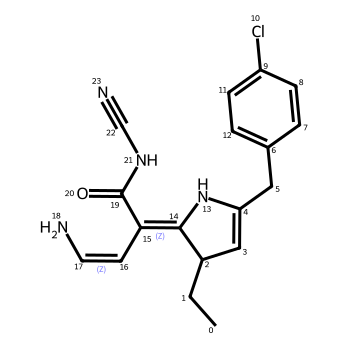 CCC1C=C(Cc2ccc(Cl)cc2)N/C1=C(/C=C\N)C(=O)NC#N